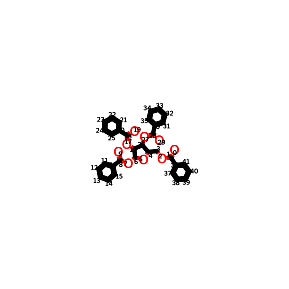 O=C(OCC1OC(OC(=O)c2ccccc2)C(OC(=O)c2ccccc2)C1OC(=O)c1ccccc1)c1ccccc1